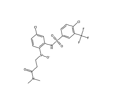 CN(C)C(=O)CC[S+]([O-])c1ccc(Cl)cc1NS(=O)(=O)c1ccc(Cl)c(C(F)(F)F)c1